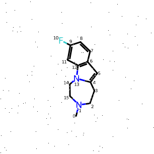 CN1CCc2cc3ccc(F)cc3n2CC1